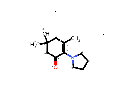 CC1=C(N2CCCC2)C(=O)CC(C)(C)C1